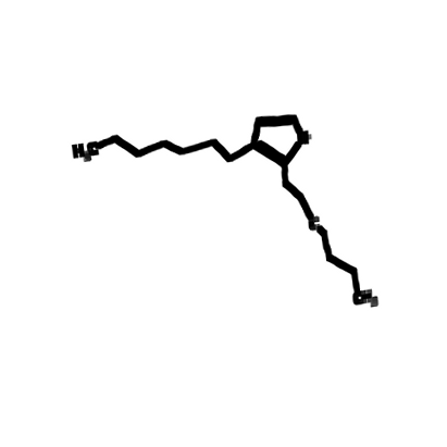 CCCCCCCC1=C(CCCCCCC)[N]C=C1